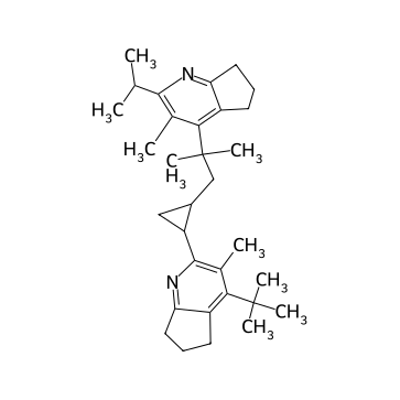 Cc1c(C2CC2CC(C)(C)c2c(C)c(C(C)C)nc3c2CCC3)nc2c(c1C(C)(C)C)CCC2